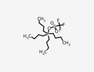 CCCCP(CCCC)(CCCC)(CCCC)OS(=O)(=O)C(F)(F)F